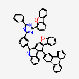 c1ccc(-c2nc(-c3cccc(-c4nc5ccccc5c5c(-c6ccc7c8ccccc8c8ccccc8c7c6)c6c(cc45)oc4ccccc46)c3)nc(-c3cccc4c3oc3ccccc34)n2)cc1